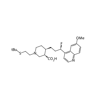 COc1ccc2nccc([C@H](F)CC[C@@H]3CCN(CCSC(C)(C)C)C[C@@H]3C(=O)O)c2c1